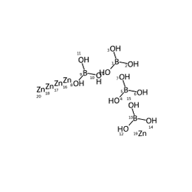 OB(O)O.OB(O)O.OB(O)O.OB(O)O.[Zn].[Zn].[Zn].[Zn].[Zn]